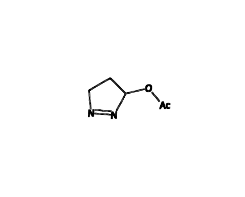 CC(=O)OC1CCN=N1